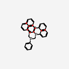 c1ccc(P(CP(CP(c2ccccc2)c2ccccc2)c2ccccc2)CP(c2ccccc2)c2ccccc2)cc1